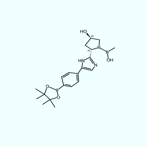 CB(O)N1C[C@H](O)C[C@H]1c1ncc(-c2ccc(B3OC(C)(C)C(C)(C)O3)cc2)[nH]1